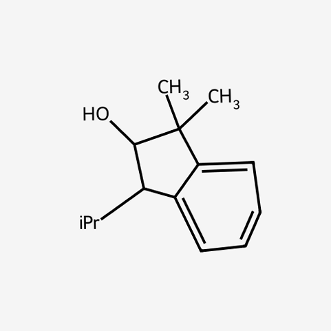 CC(C)C1c2ccccc2C(C)(C)C1O